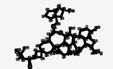 N#Cc1c(N)sc2c(F)ccc(-c3c(F)c4c5c(c3Cl)NCNC5N3CCC5(CC=C3C=C(OC[C@@]36CCCN3C[C@H](F)C6)O4)CN(C(=O)C3CC3(F)F)C5)c12